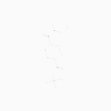 CC(CN)C(=O)N1CCN(C(=O)OC(C)(C)C)CC1